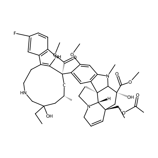 CCC1(O)CNCCc2c([nH]c3ccc(F)cc23)[C@@](C(=O)OC)(c2cc3c(cc2OC)N(C)C2[C@]34CCN3CC=C[C@@](CC)([C@@H](OC(C)=O)[C@]2(O)C(=O)OC)[C@H]34)C[C@H](C)C1